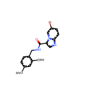 COc1ccc(CNC(=O)c2cnc3ccc(Br)cn23)c(OC)c1